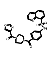 O=C(c1ccc(NS(=O)(=O)c2cccc3cccnc23)cc1)N1CCN(C(=O)c2cocn2)CC1